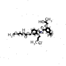 CCCCn1/c(=N/C(=O)c2cc(C(F)(F)F)ccc2OC[C@H](C)O)sc2cc[n+](COC(=O)NCCCOC)cc21.[Cl-]